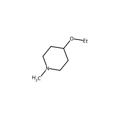 CCOC1CCN(C)CC1